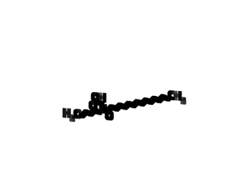 CCCCCCCCCCCCCCCC(=O)N(CCCCCC)CC(=O)O